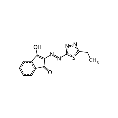 CCc1nnc(N=NC2=C(O)c3ccccc3C2=O)s1